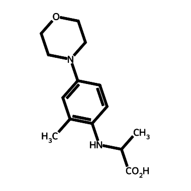 Cc1cc(N2CCOCC2)ccc1NC(C)C(=O)O